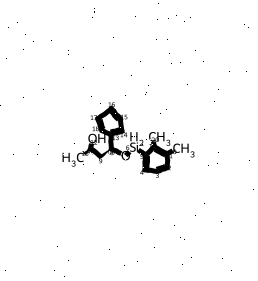 Cc1cccc([SiH2]O[C@@H](C[C@@H](C)O)c2ccccc2)c1C